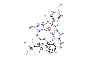 CC(=O)Oc1c(C)cc(C[n+]2cnn(CC(O)(Cn3cnc(C=Cc4ccc(OCC(F)(F)C(F)F)cc4)n3)c3ccc(F)cc3F)c2)cc1C.[Br-]